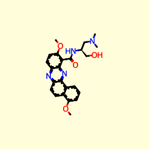 COc1ccc2nc3ccc4c(OC)cccc4c3nc2c1C(=O)N[C@H](CO)CN(C)C